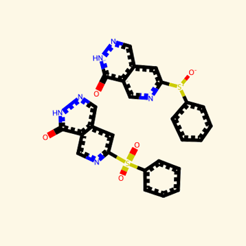 O=c1[nH]ncc2cc(S(=O)(=O)c3ccccc3)ncc12.O=c1[nH]ncc2cc([S+]([O-])c3ccccc3)ncc12